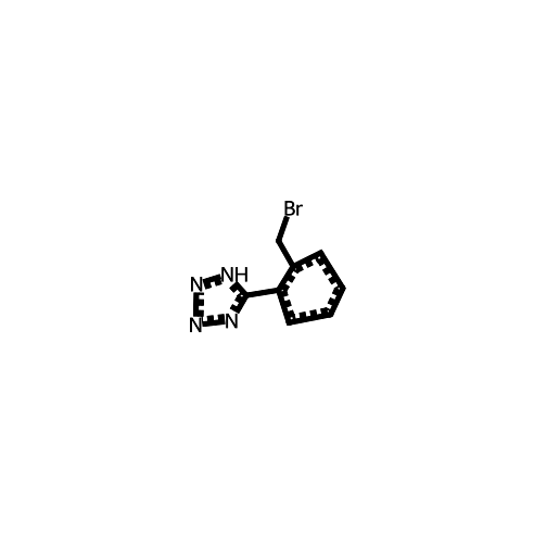 BrCc1ccccc1-c1nnn[nH]1